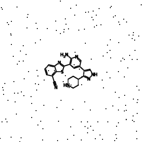 N#Cc1cccc2nc(-c3cc(-c4c[nH]nc4C4CCNCC4)cnc3N)sc12